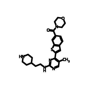 Cc1cnc(NCCC2CCNCC2)nc1-c1cc2ccc(C(=O)N3CCOCC3)cc2s1